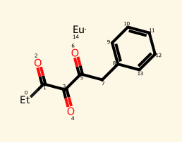 CCC(=O)C(=O)C(=O)Cc1ccccc1.[Eu]